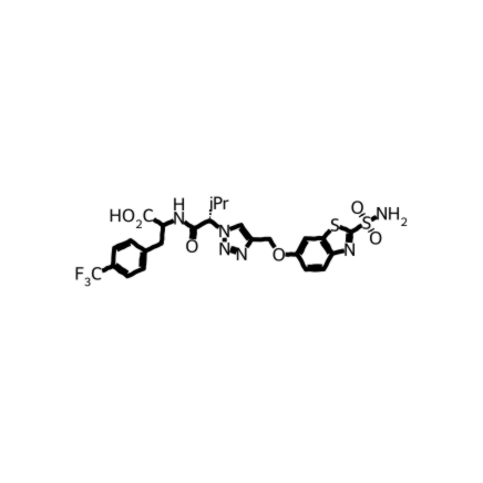 CC(C)[C@@H](C(=O)NC(Cc1ccc(C(F)(F)F)cc1)C(=O)O)n1cc(COc2ccc3nc(S(N)(=O)=O)sc3c2)nn1